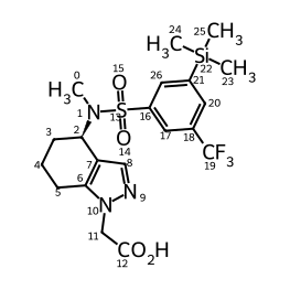 CN([C@@H]1CCCc2c1cnn2CC(=O)O)S(=O)(=O)c1cc(C(F)(F)F)cc([Si](C)(C)C)c1